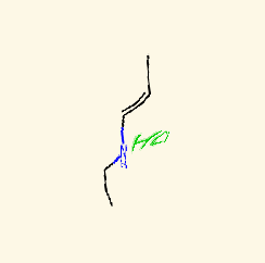 CC=CNCC.Cl